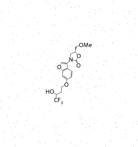 COC[C@@H]1CN(c2coc3cc(OCCC(O)C(F)(F)F)ccc23)C(=O)O1